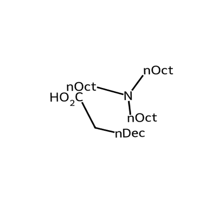 CCCCCCCCCCCC(=O)O.CCCCCCCCN(CCCCCCCC)CCCCCCCC